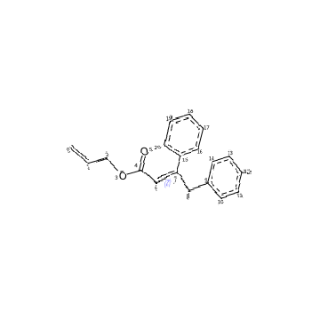 C=CCOC(=O)/C=C(/Cc1ccccc1)c1ccccc1